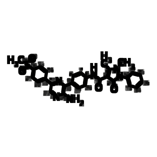 Cc1c(C(=O)Nc2ccc(-c3nc(-c4ccc(S(C)(=O)=O)cc4)cnc3N)cc2)c(=O)n(-c2ccccc2)n1C